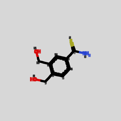 NC(=S)c1ccc(CO)c(CO)c1